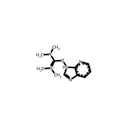 CN(C)C(O[SH]1C=Nc2cccnc21)=[N+](C)C